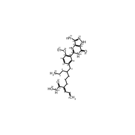 C=C/C=C(\CCCC(CCN)Cc1ccc(OCC)c(-c2nc3c(CCC)n[nH]c3c(=O)[nH]2)c1)C(=O)NO